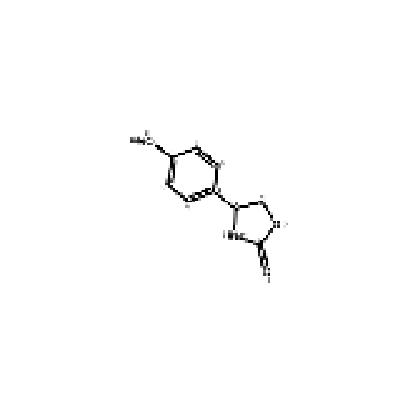 COc1ccc(C2COC(=O)N2)cc1